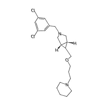 Clc1cc(Cl)cc(CN2C[C@@H]3C(COCCCN4CCCCC4)[C@@H]3C2)c1